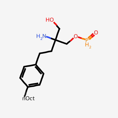 CCCCCCCCc1ccc(CCC(N)(CO)CO[PH2]=O)cc1